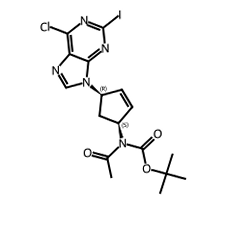 CC(=O)N(C(=O)OC(C)(C)C)[C@@H]1C=C[C@H](n2cnc3c(Cl)nc(I)nc32)C1